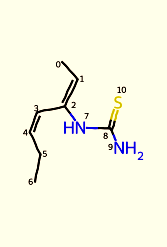 C/C=C(\C=C/CC)NC(N)=S